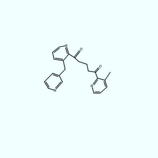 Cc1cccnc1C(=O)CCCC(=O)c1ncccc1Cc1cccnc1